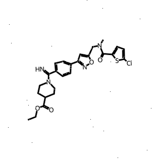 CCOC(=O)C1CCN(C(=N)c2ccc(-c3cc(CN(C)C(=O)c4ccc(Cl)s4)on3)cc2)CC1